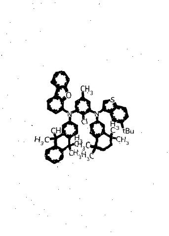 Cc1cc(N(c2ccc3c(c2)C(C)(C)CCC3(C)C)c2csc3ccc(C(C)(C)C)cc23)c(Cl)c(N(c2ccc3c(c2)C(C)(C)c2ccccc2C3(C)C)c2cccc3c2oc2ccccc23)c1